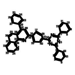 c1ccc(-c2nc(-c3ccccc3)nc(-c3ccc(-c4cc(-c5ccccc5)c5ccc6cccnc6c5n4)cc3)n2)cc1